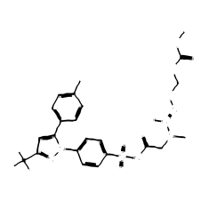 COC(=O)OCON=[N+]([O-])N(C)CC(=O)NS(=O)(=O)c1ccc(-n2nc(C(F)(F)F)cc2-c2ccc(C)cc2)cc1